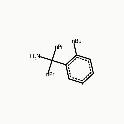 CCCCc1cc[c]cc1C(N)(CCC)CCC